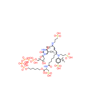 CC(/C=C/C=C(\CCCCCC(=O)NC(CS(=O)(=O)O)C(=O)OCCCCCCOP(=O)(O)OP(=O)(O)OP(=O)(O)OP(=O)(O)OP(=O)(O)OC[C@H]1O[C@@H](n2cc(C)c(=O)[nH]c2=O)C[C@H]1O)N(CCCS(=O)(=O)O)c1ccc(S(=O)(=O)O)cc1C)=N/CCCS(=O)(=O)O